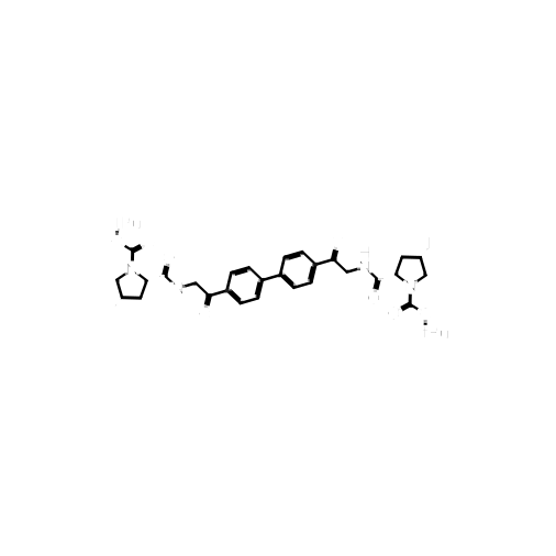 CC(C)(C)OC(=O)N1C[C@@H](F)C[C@H]1C(=O)NCC(=O)c1ccc(-c2ccc(C(=O)CNC(=O)[C@@H]3C[C@H](F)CN3C(=O)OC(C)(C)C)cc2)cc1